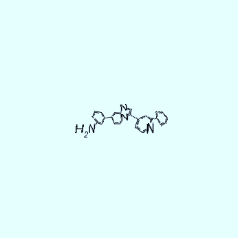 Nc1cccc(-c2ccn3c(-c4ccnc(-c5ccccc5)c4)cnc3c2)c1